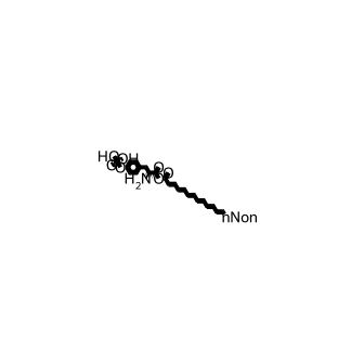 CCCCCCCCCC=CC=CC=CC=CC=CC=CC(=O)OC(=O)[C@@H](N)Cc1ccc(OP(=O)(O)O)cc1